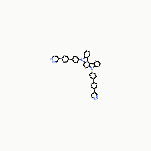 c1ccc2c(c1)c1c3c4ccccc4n(-c4ccc(-c5ccc(-c6ccnnc6)cc5)cc4)c3ccc1n2-c1ccc(-c2ccc(-c3ccnnc3)cc2)cc1